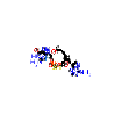 C[C@H]1CCC[C@H]2C[C@H](c3cnn4c(N)ncnc34)O[C@@H]2COP(=O)(S)O[C@H](F)[C@H](n2nnc3c(=O)[nH]c(N)nc32)O1